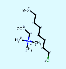 CCCCCCCCCCCCCCCCCl.C[N+](C)(C)CC(=O)[O-]